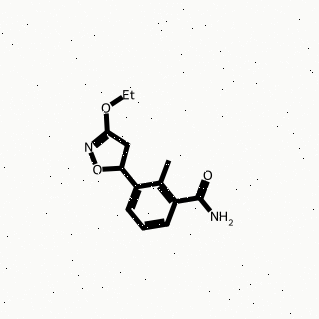 CCOC1=NOC(c2cccc(C(N)=O)c2C)C1